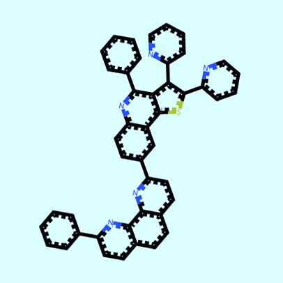 c1ccc(-c2ccc3ccc4ccc(-c5ccc6nc(-c7ccccc7)c7c(-c8ccccn8)c(-c8ccccn8)sc7c6c5)nc4c3n2)cc1